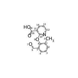 Cc1cccc(C=O)c1Oc1ncccc1C(=O)O